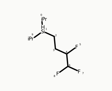 CC(C)[SiH](CCC(F)C(F)F)C(C)C